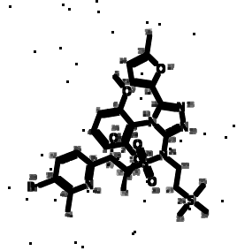 COc1cccc(OC)c1-n1c(-c2ccc(C)o2)nnc1N(CC[Si](C)(C)C)S(=O)(=O)[C@@H](C)[C@@H](O)c1ccc(Br)c(C)n1